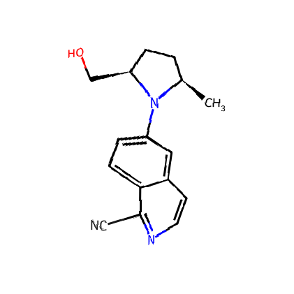 C[C@@H]1CC[C@H](CO)N1c1ccc2c(C#N)nccc2c1